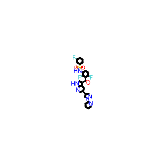 O=C(c1c(F)ccc(NS(=O)(=O)c2cccc(F)c2)c1F)c1c[nH]c2ncc(-c3cnn(-c4ccccn4)c3)cc12